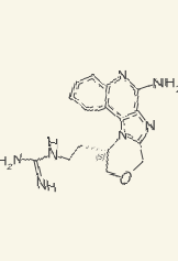 N=C(N)NCC[C@H]1COCc2nc3c(N)nc4ccccc4c3n21